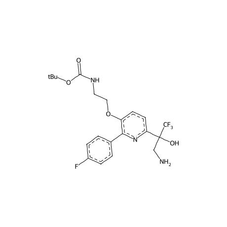 CC(C)(C)OC(=O)NCCOc1ccc(C(O)(CN)C(F)(F)F)nc1-c1ccc(F)cc1